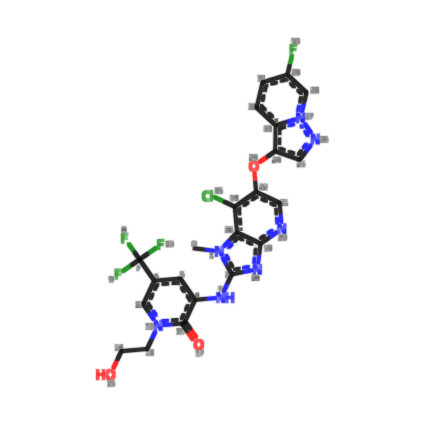 Cn1c(Nc2cc(C(F)(F)F)cn(CCO)c2=O)nc2ncc(Oc3cnn4cc(F)ccc34)c(Cl)c21